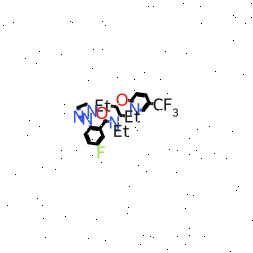 CCC(Oc1ccc(C(F)(F)F)cn1)C(CC)N(CC)C(=O)c1cc(F)ccc1-n1nccn1